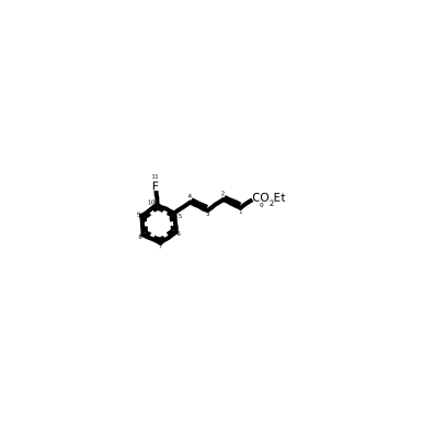 CCOC(=O)C=CC=Cc1ccccc1F